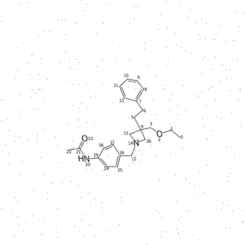 CCOCC1(CCc2ccccc2)CN(Cc2ccc(NC(C)=O)cc2)C1